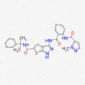 Cn1nccc1C(=O)Nc1ccccc1C(=O)Nc1n[nH]c2sc(C(=O)NC(C)(C)c3ccccc3)cc12